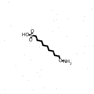 NOCCCCCCCCCS(=O)(=O)O